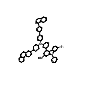 CC(C)(C)c1ccc2c3c(-c4cccc(N(c5ccc(-c6ccc(-c7cccc8ccccc78)cc6)cc5)c5ccc(-c6ccc7c(ccc8ccccc87)c6)cc5)c4)cc(C(C)(C)C)cc3n(-c3ccccc3)c2c1